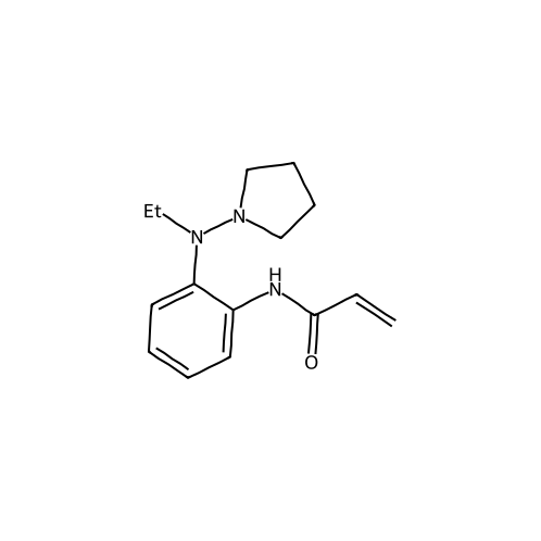 C=CC(=O)Nc1ccccc1N(CC)N1CCCC1